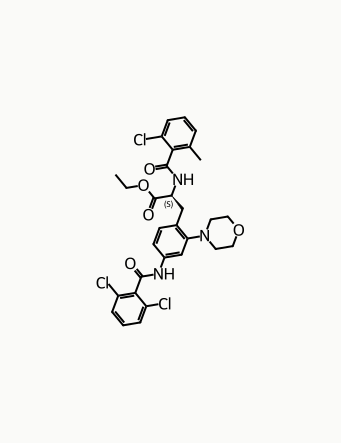 CCOC(=O)[C@H](Cc1ccc(NC(=O)c2c(Cl)cccc2Cl)cc1N1CCOCC1)NC(=O)c1c(C)cccc1Cl